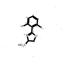 O=C(O)C1COC(c2c(F)cccc2F)=N1